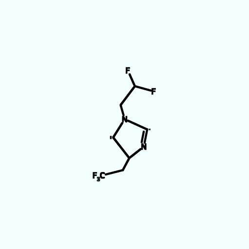 FC(F)CN1[C]C(CC(F)(F)F)N=[C]1